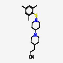 Cc1cc(C)c(SN2CCC(N3CCC(CCC#N)CC3)CC2)c(C)c1